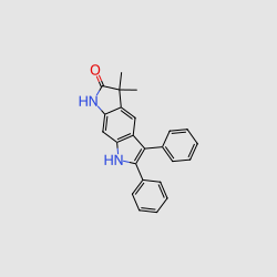 CC1(C)C(=O)Nc2cc3[nH]c(-c4ccccc4)c(-c4ccccc4)c3cc21